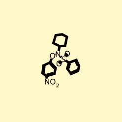 O=[N+]([O-])c1ccc(ON(C2CCCCC2)S(=O)(=O)c2ccccc2)cc1